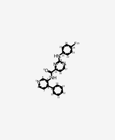 O=C(Nc1cnccc1-c1ccccc1)c1ccnc(Nc2ccc(F)cc2)n1